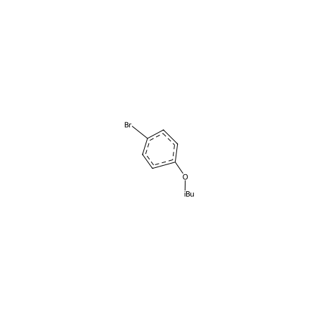 CCC(C)Oc1ccc(Br)cc1